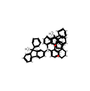 CC1(c2ccccc2)c2ccccc2-c2ccc(N(c3ccccc3-c3cccc4cccc(C5CCCCC5)c34)c3cccc4c3-c3ccccc3C4(C)c3ccccc3)cc21